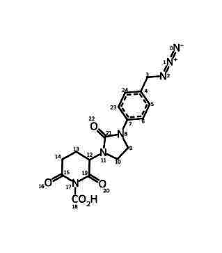 [N-]=[N+]=NCc1ccc(N2CCN(C3CCC(=O)N(C(=O)O)C3=O)C2=O)cc1